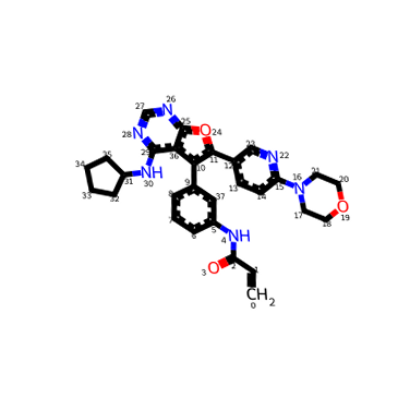 C=CC(=O)Nc1cccc(-c2c(-c3ccc(N4CCOCC4)nc3)oc3ncnc(NC4CCCC4)c23)c1